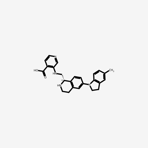 Cc1ccc2c(c1)CCN2c1ccc2c(c1)CCN[C@@H]2CNc1cnccc1C(=O)O